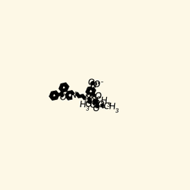 CCOC(=O)C(C)(C)n1c(=O)c2cc([N+](=O)[O-])ccc2n(CCCCN2CCC(OC(c3ccccc3)c3ccccc3)CC2)c1=O